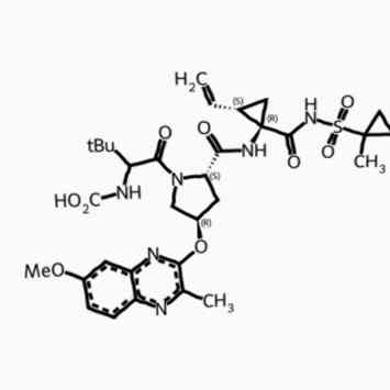 C=C[C@@H]1C[C@]1(NC(=O)[C@@H]1C[C@@H](Oc2nc3cc(OC)ccc3nc2C)CN1C(=O)C(NC(=O)O)C(C)(C)C)C(=O)NS(=O)(=O)C1(C)CC1